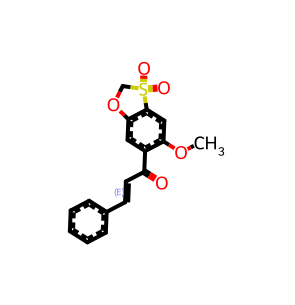 COc1cc2c(cc1C(=O)/C=C/c1ccccc1)OCS2(=O)=O